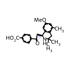 COc1cc(C)c2c(c1)/C(=C/C(=O)c1ccc(C(=O)O)cc1)NC(C)(C)C2